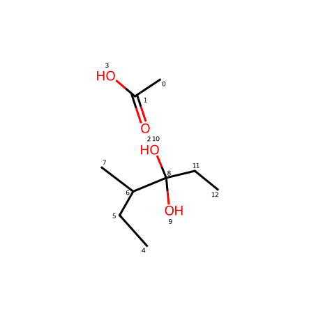 CC(=O)O.CCC(C)C(O)(O)CC